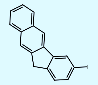 Ic1ccc2c(c1)-c1cc3ccccc3cc1C2